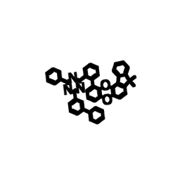 CC1(C)c2ccccc2-c2c1ccc1c2Oc2c(cccc2-c2ccccc2-c2nc(-c3ccccc3)nc(-c3cccc(-c4ccccc4)c3)n2)O1